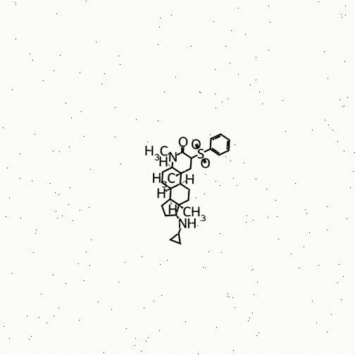 CN1C(=O)C(S(=O)(=O)c2ccccc2)C[C@]2(C)[C@H]3CC[C@]4(C)[C@@H](NC5CC5)CC[C@H]4[C@@H]3CC[C@@H]12